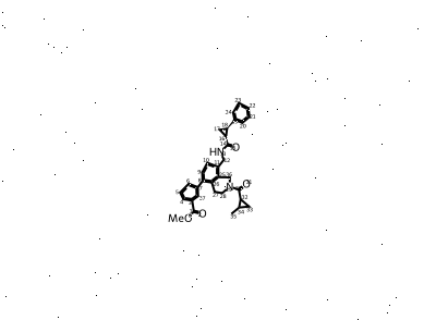 COC(=O)c1cccc(-c2ccc(CNC(=O)[C@H]3C[C@H]3c3ccccc3)c3c2CCN(C(=O)C2CC2C)C3)c1